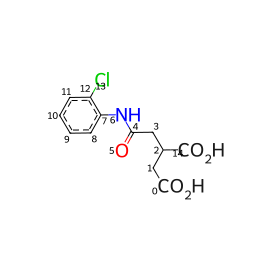 O=C(O)CC(CC(=O)Nc1ccccc1Cl)C(=O)O